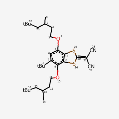 CC(CCOc1cc(C(C)(C)C)c(OCCC(C)CC(C)(C)C)c2c1SC(=C(C#N)C#N)S2)CC(C)(C)C